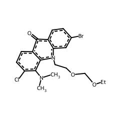 CCOCOCCn1c2cc(Br)ccc2c(=O)c2ccc(Cl)c(N(C)C)c21